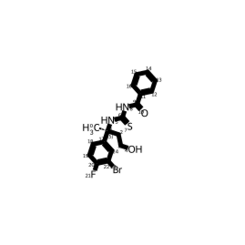 C[C@@](CCO)(NC(=S)NC(=O)c1ccccc1)c1ccc(F)c(Br)c1